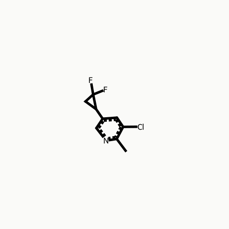 Cc1ncc(C2CC2(F)F)cc1Cl